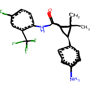 CC1(C)C(C(=O)Nc2ccc(F)cc2C(F)(F)F)[C@@H]1c1ccc(N)cc1